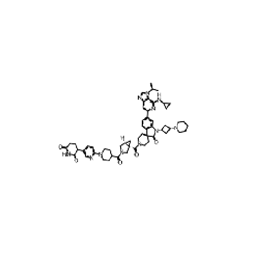 CC(C)n1cnc2cc(-c3ccc4c(c3)N([C@H]3C[C@@H](N5CCCCC5)C3)C(=O)C43CCN(C(=O)[C@@]45C[C@@H]4CN(C(=O)C4CCN(c6ccc(C7CCC(=O)NC7=O)cn6)CC4)C5)CC3)nc(NC3CC3)c21